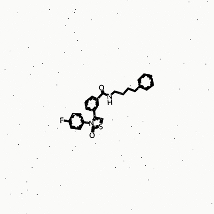 O=C(NCCCCc1ccccc1)c1cccc(-c2csc(=O)n2-c2ccc(F)cc2)c1